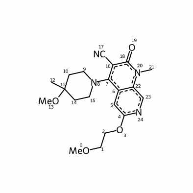 COCCOc1cc2c(N3CCC(C)(OC)CC3)c(C#N)c(=O)n(C)c2cn1